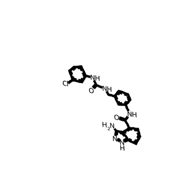 Nc1n[nH]c2cccc(C(=O)Nc3cccc(CNC(=O)Nc4cccc(Cl)c4)c3)c12